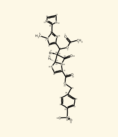 CC(=O)OC(c1cn(C)c(-c2nccs2)n1)[C@]1(Br)C(=O)N2C(C(=O)OCc3ccc([N+](=O)[O-])cc3)=CS[C@H]21